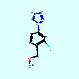 COCc1ccc(-n2cnnn2)cc1F